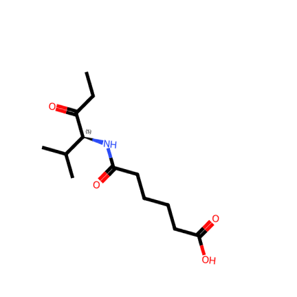 CCC(=O)[C@@H](NC(=O)CCCCC(=O)O)C(C)C